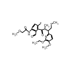 CCOc1nc(C(CSC)N(C)C(=O)c2c(F)ccc(NC(=O)COC)c2C=O)ccc1OC